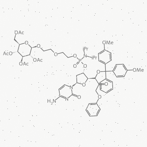 COc1ccc(C(OC(C(=O)COc2ccccc2)[C@H]2O[C@@H](n3ccc(N)nc3=O)C[C@@H]2OP(=O)(OCCOCCO[C@@H]2O[C@H](COC(C)=O)[C@@H](OC(C)=O)[C@H](OC(C)=O)[C@H]2OC(C)=O)N(C(C)C)C(C)C)(c2ccccc2)c2ccc(OC)cc2)cc1